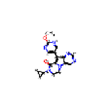 COc1ncc(-c2c3n(c4cncnc24)CCN(C2CC2)C3=O)cn1